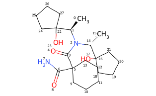 C[C@@H](N(C(=O)C1(C(N)=O)CCCCC1)[C@H](C)C1(O)CCCC1)C1(O)CCCC1